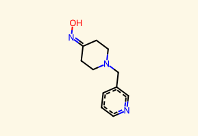 ON=C1CCN(Cc2cccnc2)CC1